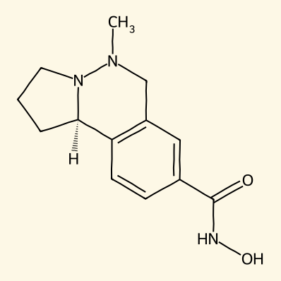 CN1Cc2cc(C(=O)NO)ccc2[C@H]2CCCN21